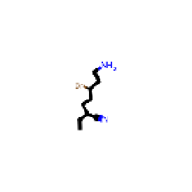 CCC(C#N)CC[C@@H](Br)CCN